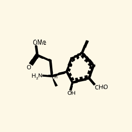 COC(=O)C[C@@](C)(N)c1cc(C)cc(C=O)c1O